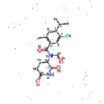 Cc1cc(C(C)C)c(F)cc1C(=O)N(C=O)C1CCC(=O)NC1=O